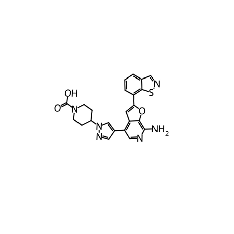 Nc1ncc(-c2cnn(C3CCN(C(=O)O)CC3)c2)c2cc(-c3cccc4cnsc34)oc12